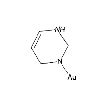 [Au][N]1CC=CNC1